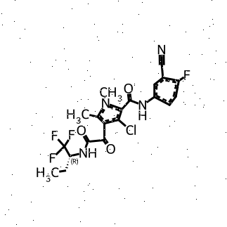 CC[C@@H](NC(=O)C(=O)c1c(Cl)c(C(=O)Nc2ccc(F)c(C#N)c2)n(C)c1C)C(F)(F)F